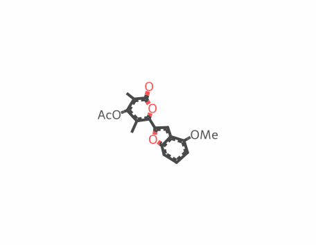 COc1cccc2oc(-c3oc(=O)c(C)c(OC(C)=O)c3C)cc12